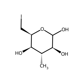 C[C@@H]1[C@@H](O)[C@@H](CI)OC(O)[C@H]1O